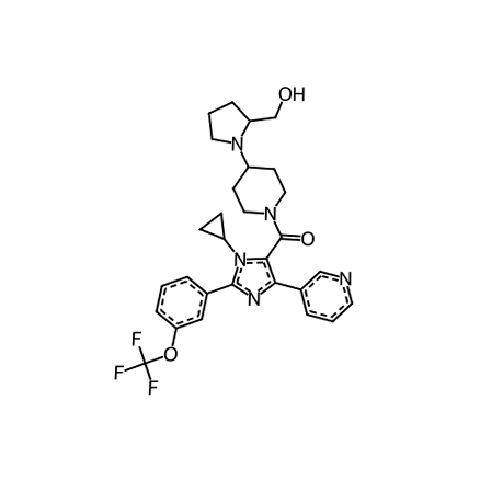 O=C(c1c(-c2cccnc2)nc(-c2cccc(OC(F)(F)F)c2)n1C1CC1)N1CCC(N2CCCC2CO)CC1